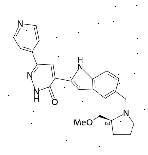 COC[C@@H]1CCCN1Cc1ccc2[nH]c(-c3cc(-c4ccncc4)n[nH]c3=O)cc2c1